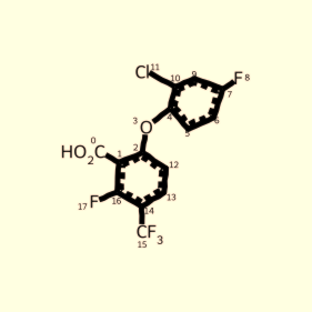 O=C(O)c1c(Oc2ccc(F)cc2Cl)ccc(C(F)(F)F)c1F